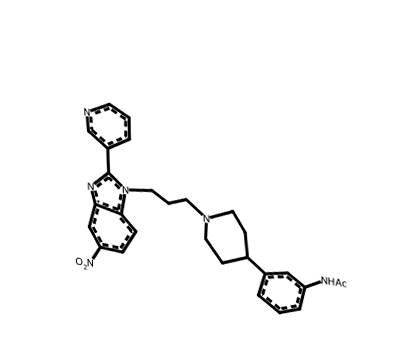 CC(=O)Nc1cccc(C2CCN(CCCn3c(-c4cccnc4)nc4cc([N+](=O)[O-])ccc43)CC2)c1